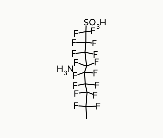 CC(F)(F)C(F)(F)C(F)(F)C(F)(F)C(F)(F)C(F)(F)C(F)(F)C(F)(F)S(=O)(=O)O.N